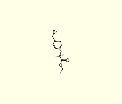 CCOC(=O)/C(C)=C/c1ccc(CBr)cc1